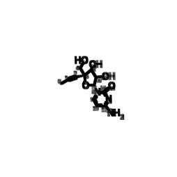 CC#C[C@]1(CO)O[C@@H](n2ccc(N)nc2=O)C(O)C1O